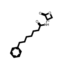 O=C(CCCCCCc1ccccc1)N[C@H]1COC1=O